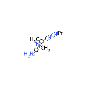 Cc1cc(C2CCN(C3CCN(C(C)C)CC3)CC2)cc2c1nc(-c1ccc(SN)cc1)n2C